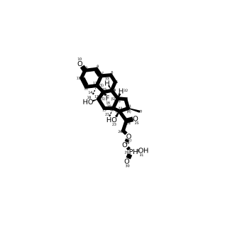 C[C@@H]1C[C@H]2[C@@H]3CCC4=CC(=O)C=C[C@]4(C)[C@@]3(F)[C@@H](O)C[C@]2(C)[C@@]1(O)C(=O)COO[PH](=O)O